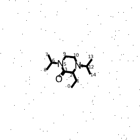 CCC1C(=O)N(C(C)C)CCN1C(C)C